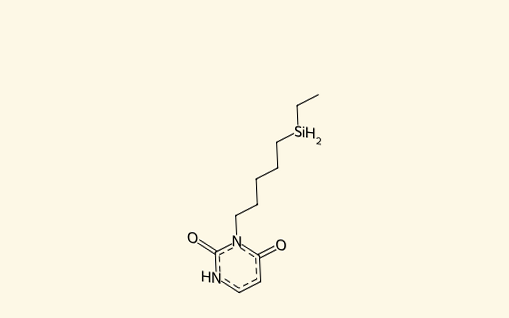 CC[SiH2]CCCCCn1c(=O)cc[nH]c1=O